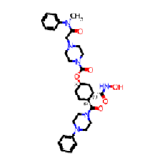 CN(C(=O)CN1CCN(C(=O)O[C@@H]2CC[C@H](C(=O)N3CCN(c4ccccc4)CC3)[C@@H](C(=O)NO)C2)CC1)c1ccccc1